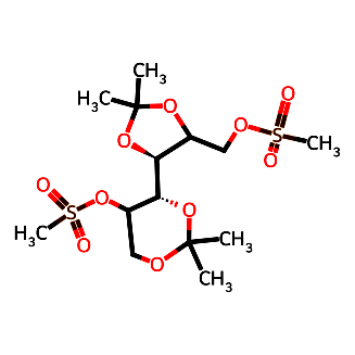 CC1(C)OCC(OS(C)(=O)=O)[C@H]([C@H]2OC(C)(C)OC2COS(C)(=O)=O)O1